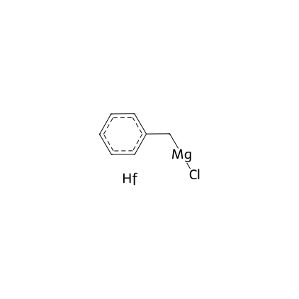 [Cl][Mg][CH2]c1ccccc1.[Hf]